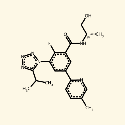 Cc1ccc(-c2cc(C(=O)N[C@@H](C)CO)c(F)c(-n3nnnc3C(C)C)c2)nc1